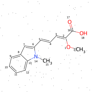 COC(=CC=Cc1cc2ccccc2n1C)C(=O)O